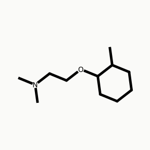 CC1CCCCC1OCCN(C)C